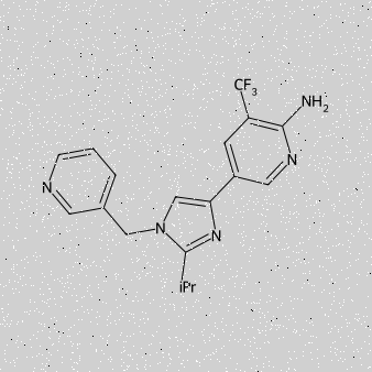 CC(C)c1nc(-c2cnc(N)c(C(F)(F)F)c2)cn1Cc1cccnc1